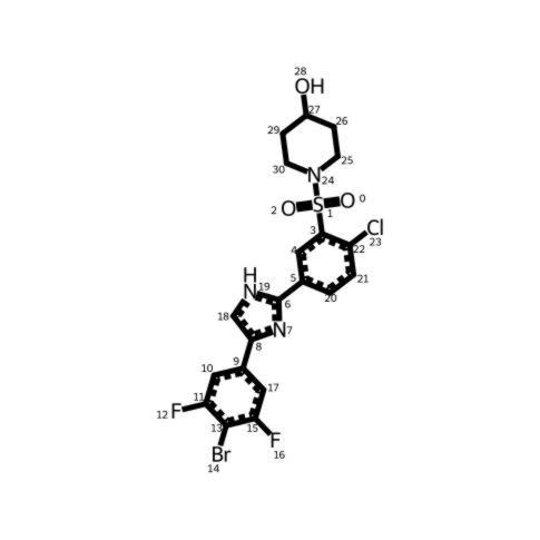 O=S(=O)(c1cc(-c2nc(-c3cc(F)c(Br)c(F)c3)c[nH]2)ccc1Cl)N1CCC(O)CC1